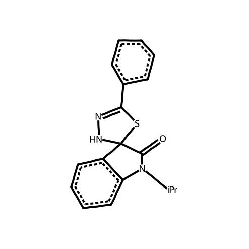 CC(C)N1C(=O)C2(NN=C(c3ccccc3)S2)c2ccccc21